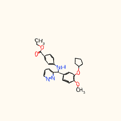 CCOC(=O)c1ccc(NC(c2ccc(OC)c(OC3CCCC3)c2)c2cccnn2)cc1